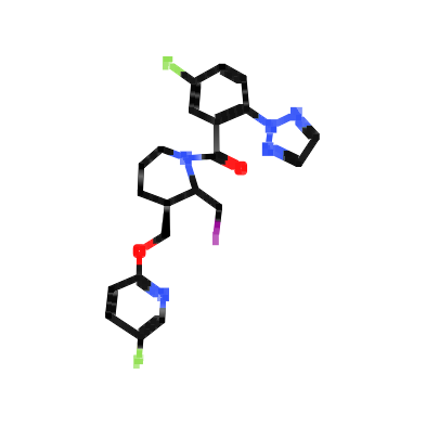 O=C(c1cc(F)ccc1-n1nccn1)N1CCC[C@H](COc2ccc(F)cn2)C1CI